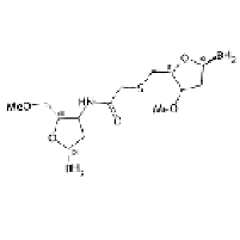 B[C@H]1CC(NC(=O)CSC[C@H]2O[C@@H](B)CC2OC)[C@@H](COC)O1